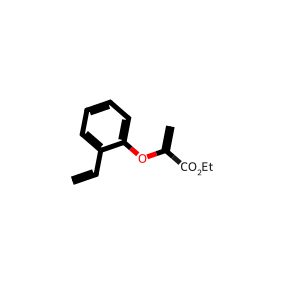 C=Cc1ccccc1OC(=C)C(=O)OCC